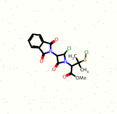 COC(=O)C(N1C(=O)C(N2C(=O)c3ccccc3C2=O)C1Cl)C(C)(C)SCl